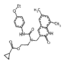 CCOc1ccc(NC(=O)N(CCOC(=O)C2CC2)Cc2cc3cc(C)cc(C)c3[nH]c2=O)cc1